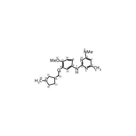 CNc1cc(C)nc(Nc2ccc(OC)c(OC[C@H]3CCN(C)C3)c2)n1